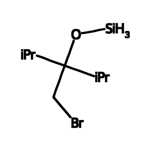 CC(C)C(CBr)(O[SiH3])C(C)C